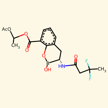 CC(=O)OC(C)OC(=O)c1cccc2c1OB(O)[C@@H](NC(=O)CC(C)(F)F)C2